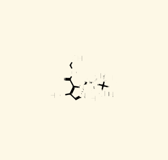 CCOC(=O)c1c(C)cnn1O[Si](C)(C)C(C)(C)C